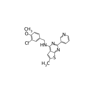 COc1ccc(CNc2nc(-c3cccnc3)nc3sc(C)cc23)cc1Cl